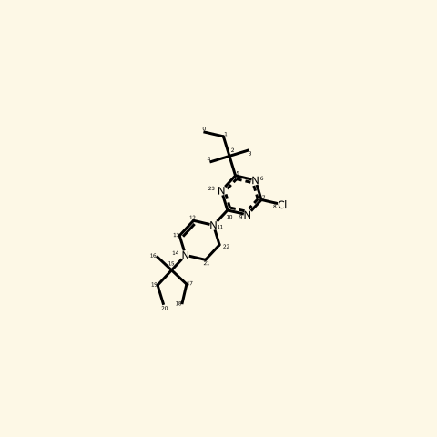 CCC(C)(C)c1nc(Cl)nc(N2C=CN(C(C)(CC)CC)CC2)n1